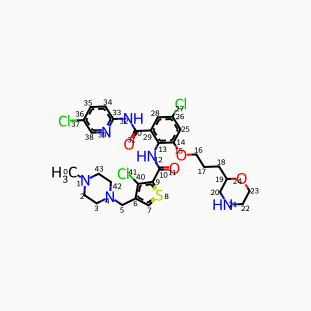 CN1CCN(Cc2csc(C(=O)Nc3c(OCCCC4CNCCO4)cc(Cl)cc3C(=O)Nc3ccc(Cl)cn3)c2Cl)CC1